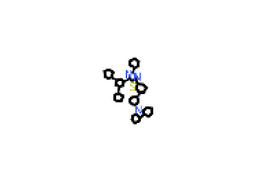 c1ccc(-c2cc(-c3ccccc3)cc(-c3nc(-c4ccccc4)nc4c3sc3c(-c5cccc(-n6c7ccccc7c7ccccc76)c5)cccc34)c2)cc1